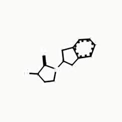 CCC1CCN(C2Cc3ccccc3C2)C1=O